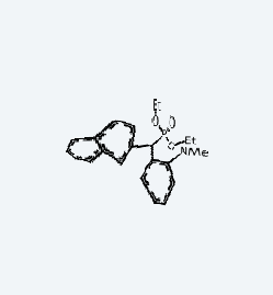 CCOP(=O)(OCC)C(c1ccc2ccccc2c1)c1ccccc1NC